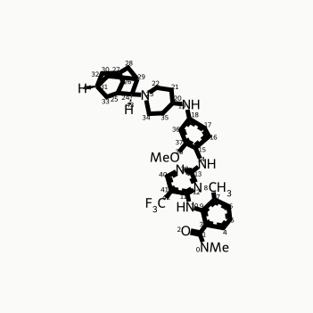 CNC(=O)c1cccc(C)c1Nc1nc(Nc2ccc(NC3CCN([C@H]4C5CC6CC4C[C@@H](C6)C5)CC3)cc2OC)ncc1C(F)(F)F